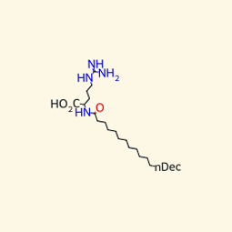 CCCCCCCCCCCCCCCCCCCCCC(=O)NC(CCCNC(=N)N)C(=O)O